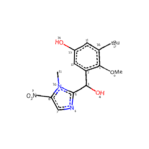 COc1c(C(O)c2ncc([N+](=O)[O-])n2C)cc(O)cc1C(C)(C)C